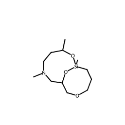 CC1CCN(C)CC2COCCC[Si](C)(O1)O2